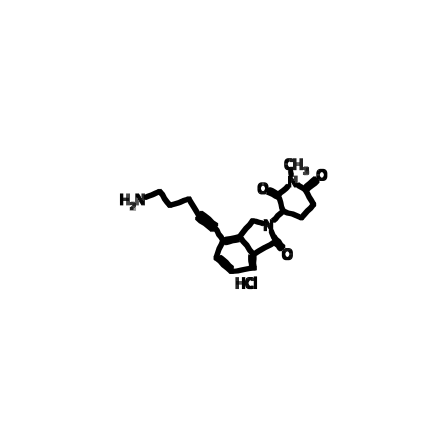 CN1C(=O)CCC(N2Cc3c(C#CCCCN)cccc3C2=O)C1=O.Cl